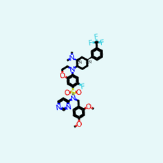 COc1ccc(CN(c2ccncn2)S(=O)(=O)c2cc3c(cc2F)N(C2CC[C@H](c4cccc(C(F)(F)F)c4)C[C@@H]2N(C)C)CCO3)c(OC)c1